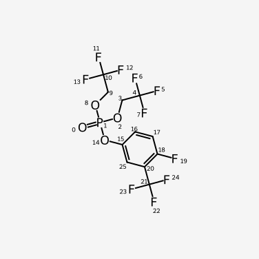 O=P(OCC(F)(F)F)(OCC(F)(F)F)Oc1ccc(F)c(C(F)(F)F)c1